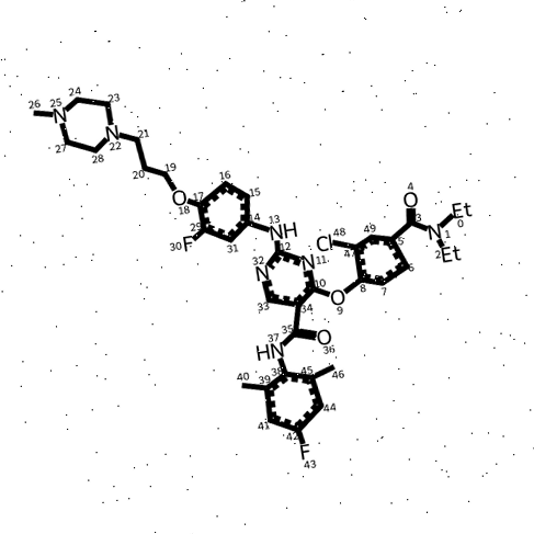 CCN(CC)C(=O)c1ccc(Oc2nc(Nc3ccc(OCCCN4CCN(C)CC4)c(F)c3)ncc2C(=O)Nc2c(C)cc(F)cc2C)c(Cl)c1